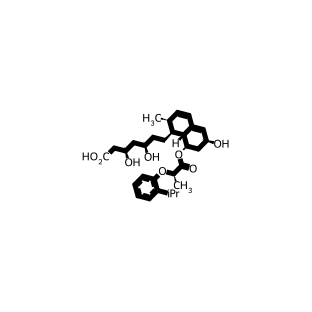 CC(C)c1ccccc1O[C@@H](C)C(=O)O[C@H]1C[C@H](O)C=C2C=C[C@@H](C)[C@H](CC[C@@H](O)C[C@@H](O)CC(=O)O)[C@H]21